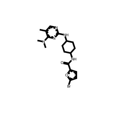 Cc1cnc(NC2CCC(NC(=O)c3ccc(Br)o3)CC2)nc1N(C)C